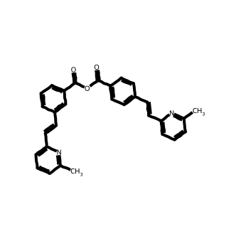 Cc1cccc(C=Cc2ccc(C(=O)OC(=O)c3cccc(C=Cc4cccc(C)n4)c3)cc2)n1